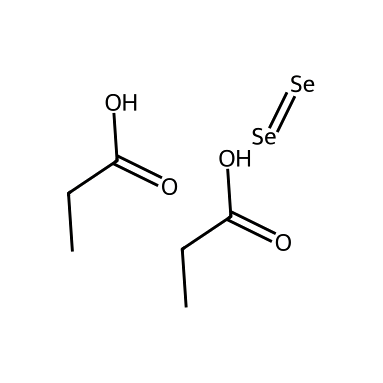 CCC(=O)O.CCC(=O)O.[Se]=[Se]